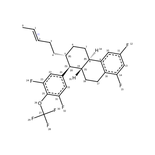 C/C=C/CC[C@@H]1CC[C@H]2c3cc(F)cc(F)c3CC[C@@H]2[C@H]1c1cc(F)c(OC(F)(F)F)c(F)c1